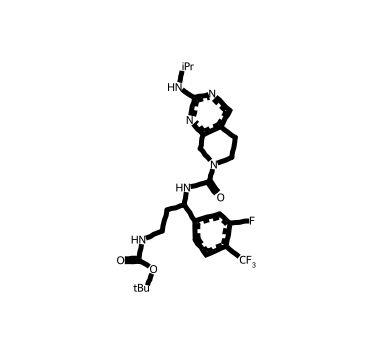 CC(C)Nc1ncc2c(n1)CN(C(=O)NC(CCNC(=O)OC(C)(C)C)c1ccc(C(F)(F)F)c(F)c1)CC2